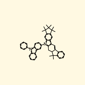 CC1(C)c2ccccc2C2=Cc3c(n(-c4ccc5c(c4)c4ccccc4n5-c4ccccc4)c4cc5c(cc34)C(C)(C)C(C)(C)C5(C)C)CC21